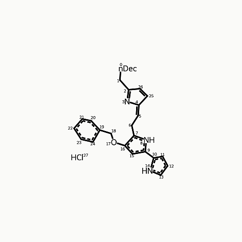 CCCCCCCCCCCC1=NC(=CCc2[nH]c(-c3ccc[nH]3)cc2OCc2ccccc2)C=C1.Cl